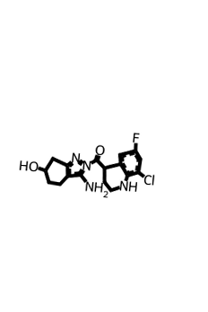 Nc1c2c(nn1C(=O)C1CCNc3c(Cl)cc(F)cc31)CC(O)CC2